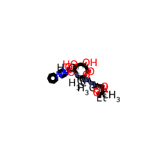 CCC(=O)[C@@H](C)[C@H]1O[C@@H]1C[C@@](C)(O)/C=C/C=C(\C)[C@H]1OC(=O)C[C@H](O)CC[C@@](C)(O)[C@@H](OC(=O)N2CCN(C3CCCCCC3)CC2)/C=C/[C@@H]1C